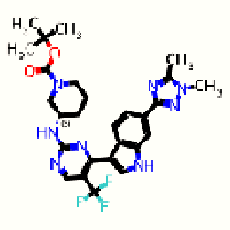 Cc1nc(-c2ccc3c(-c4nc(N[C@H]5CCCN(C(=O)OC(C)(C)C)C5)ncc4C(F)(F)F)c[nH]c3c2)nn1C